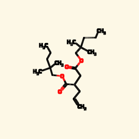 C=CCC(CC(=O)OCC(C)(C)CCC)C(=O)OCC(C)(C)CCC